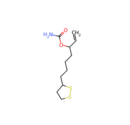 C=CC(CCCCC1CCSS1)OC(N)=O